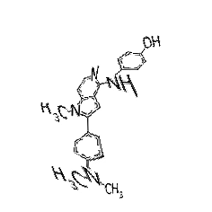 CN(C)c1ccc(-c2cc3c(Nc4ccc(O)cc4)nccc3n2C)cc1